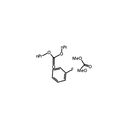 CCCOC(=O)OCCC.COC(=O)OC.Fc1ccccc1